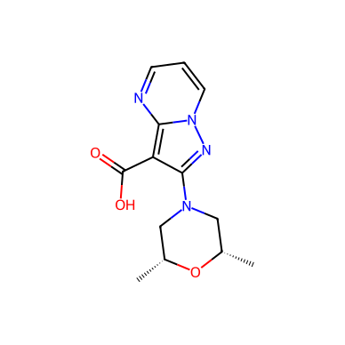 C[C@@H]1CN(c2nn3cccnc3c2C(=O)O)C[C@H](C)O1